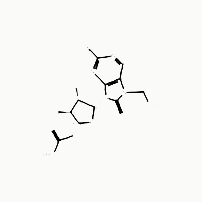 COC(=O)C[C@H]1O[C@@H](n2c(=O)n(CSC)c3cnc(N)nc32)[C@H](OC(C)=O)[C@@H]1F